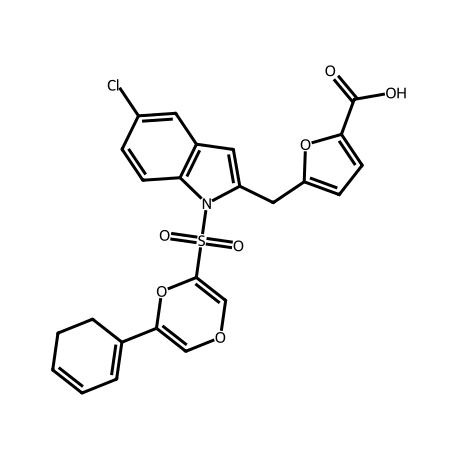 O=C(O)c1ccc(Cc2cc3cc(Cl)ccc3n2S(=O)(=O)C2=COC=C(C3=CC=CCC3)O2)o1